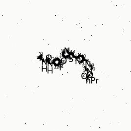 CCCC(=O)ON1CCN(Cc2ccc(-c3cc4nccc(Oc5ccc(NC(=O)NC6CC6)cc5F)c4s3)nc2)CC1